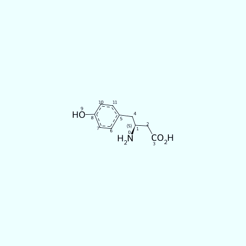 N[C@H](CC(=O)O)Cc1ccc(O)cc1